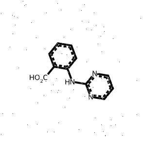 O=C(O)c1ccccc1Nc1ncccn1